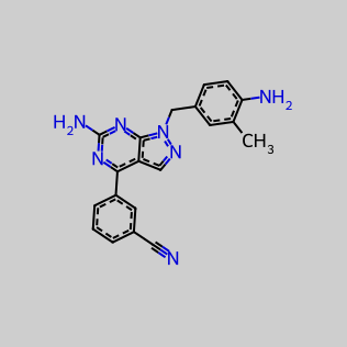 Cc1cc(Cn2ncc3c(-c4cccc(C#N)c4)nc(N)nc32)ccc1N